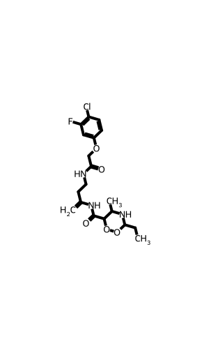 C=C(CCNC(=O)COc1ccc(Cl)c(F)c1)NC(=O)C1OOC(CC)NC1C